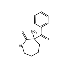 O=C1NCCCCC1(C(=O)c1ccccc1)[N+](=O)[O-]